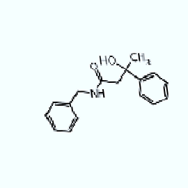 CC(O)(CC(=O)NCc1ccccc1)c1ccccc1